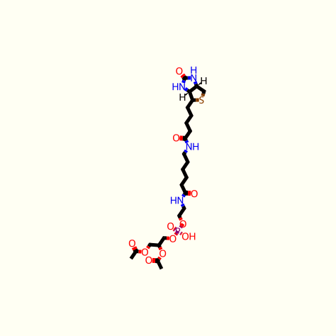 CC(=O)OCC(COP(=O)(O)OCCNC(=O)CCCCCNC(=O)CCCCC1SC[C@@H]2NC(=O)N[C@H]12)OC(C)=O